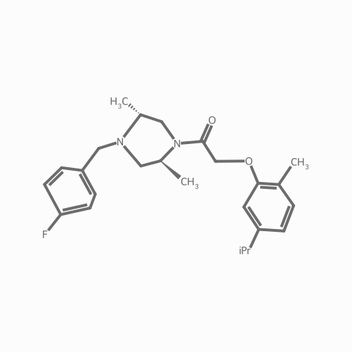 Cc1ccc(C(C)C)cc1OCC(=O)N1C[C@@H](C)N(Cc2ccc(F)cc2)C[C@@H]1C